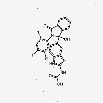 O=C(O)Nc1nc2cc(C3(O)c4ccccc4C(=O)N3c3cc(Cl)c(F)cc3F)ccc2[nH]1